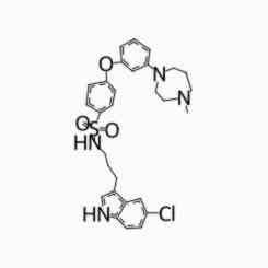 CN1CCCN(c2cccc(Oc3ccc(S(=O)(=O)NCCCc4c[nH]c5ccc(Cl)cc45)cc3)c2)CC1